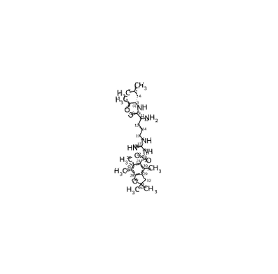 CC(=O)[C@H](CC(C)C)NC(=O)[C@@H](N)CCCNC(=N)NS(=O)(=O)c1c(C)c(C)c2c(c1C)CC(C)(C)O2